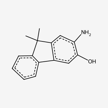 CC1(C)c2ccccc2-c2cc(O)c(N)cc21